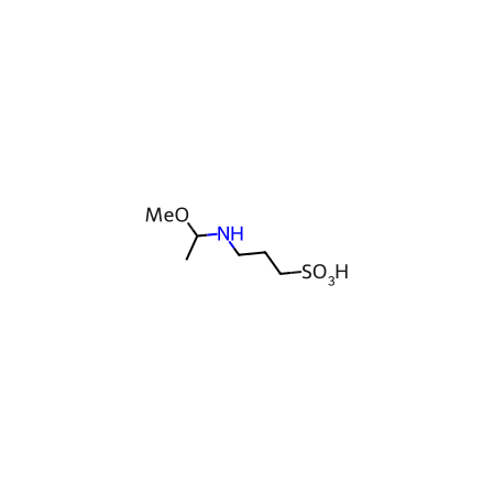 COC(C)NCCCS(=O)(=O)O